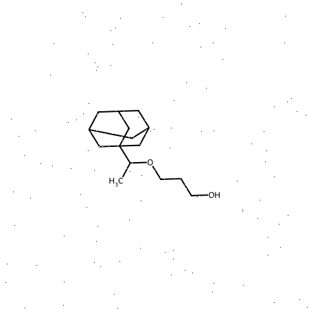 CC(OCCCO)C12CC3CC(CC(C3)C1)C2